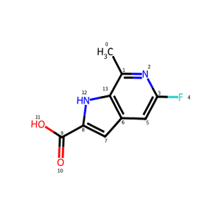 Cc1nc(F)cc2cc(C(=O)O)[nH]c12